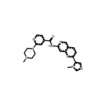 CN1CCN(c2cc(C(=O)Nc3cc4nc(-c5cncn5C)ccc4cn3)ccn2)CC1